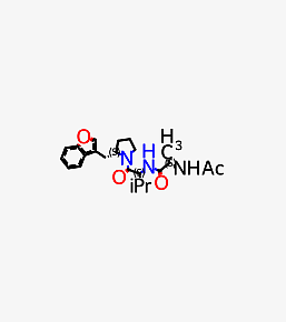 CC(=O)N[C@@H](C)C(=O)N[C@H](C(=O)N1CCC[C@H]1Cc1coc2ccccc12)C(C)C